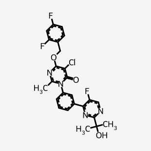 Cc1nc(OCc2ccc(F)cc2F)c(Cl)c(=O)n1-c1cccc(-c2nc(C(C)(C)O)ncc2F)c1